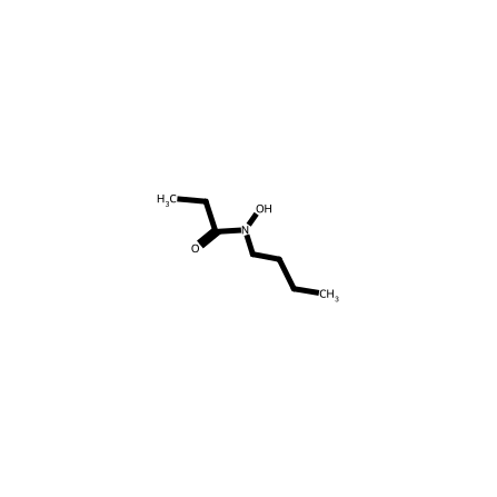 CCCCN(O)C(=O)CC